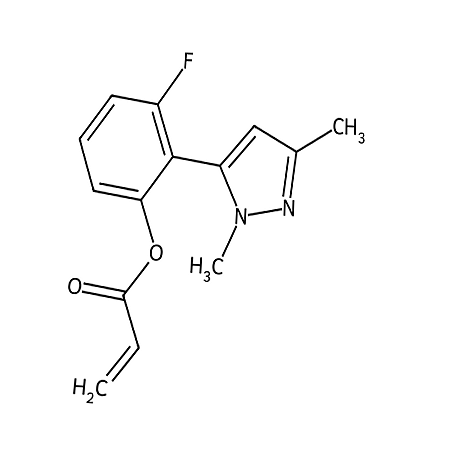 C=CC(=O)Oc1cccc(F)c1-c1cc(C)nn1C